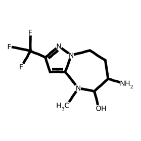 CN1c2cc(C(F)(F)F)nn2CCC(N)C1O